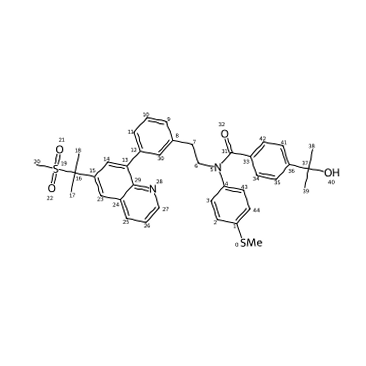 CSc1ccc(N(CCc2cccc(-c3cc(C(C)(C)S(C)(=O)=O)cc4cccnc34)c2)C(=O)c2ccc(C(C)(C)O)cc2)cc1